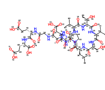 CC(C)C[C@H](NC(=O)[C@@H](N)CC(=O)O)C(=O)N[C@H](C(=O)N[C@H](C(=O)N[C@H](C(=O)N[C@@H](CO)C(=O)N[C@@H](CC(C)C)C(=O)N1CCC[C@H]1C(=O)NCC(=O)NCC(=O)N[C@@H](CCC(=O)O)C(=O)N[C@@H](CCC(=O)O)C(=O)O)C(C)C)[C@@H](C)O)C(C)C